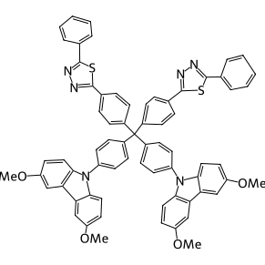 COc1ccc2c(c1)c1cc(OC)ccc1n2-c1ccc(C(c2ccc(-c3nnc(-c4ccccc4)s3)cc2)(c2ccc(-c3nnc(-c4ccccc4)s3)cc2)c2ccc(-n3c4ccc(OC)cc4c4cc(OC)ccc43)cc2)cc1